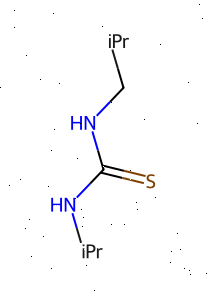 CC(C)CNC(=S)NC(C)C